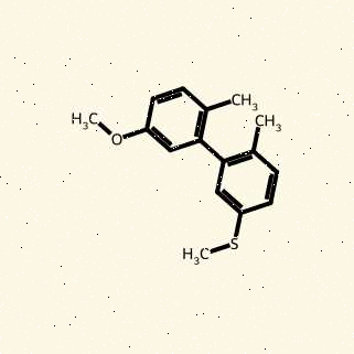 COc1ccc(C)c(-c2cc(SC)ccc2C)c1